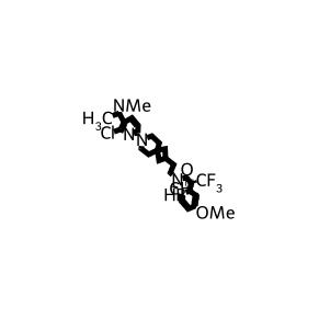 CNC(C)c1ccc(N2CCC3(CC2)CC(CCN(C)C(=O)[C@H](C2BC=CC(OC)=C2)C(F)(F)F)C3)nc1Cl